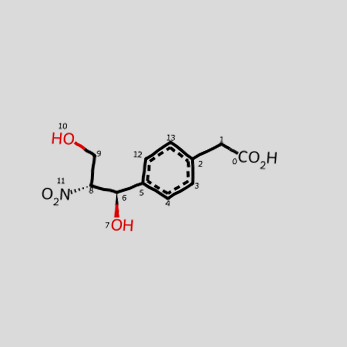 O=C(O)Cc1ccc([C@@H](O)[C@@H](CO)[N+](=O)[O-])cc1